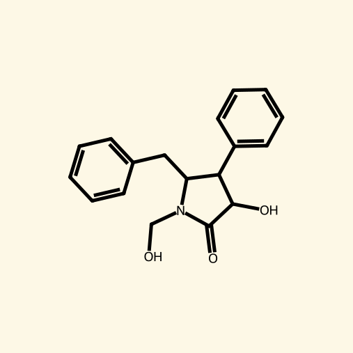 O=C1C(O)C(c2ccccc2)C(Cc2ccccc2)N1CO